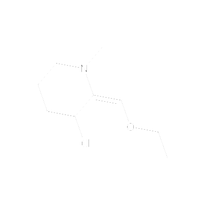 CCOC=C1C(Cl)CCCN1C